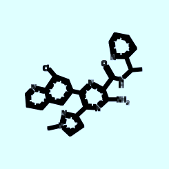 CC(NC(=O)c1nc(-c2cc(Cl)c3ncccc3c2)c(-c2ccn(C)n2)nc1N)c1ccccn1